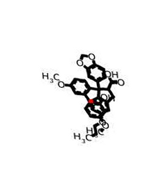 CCCOc1ccc2c(c1)CC(C(=O)O)C2(c1ccc2c(c1)OCO2)c1ccc(OC)cc1-c1ccc(OC)cc1O